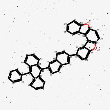 c1ccc(-c2c3ccccc3c(-c3ccc4cc(-c5ccc6oc7ccc8oc9ccccc9c8c7c6c5)ccc4c3)c3ccccc23)cc1